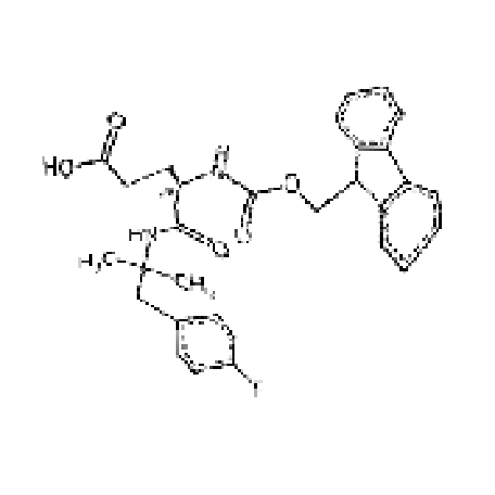 CC(C)(Cc1ccc(F)cc1)NC(=O)[C@@H](CCC(=O)O)NC(=O)OCC1c2ccccc2-c2ccccc21